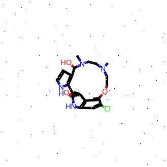 CN1CCOc2cc3c(cc2Cl)NC(=O)/C3=C\c2[nH]ccc2C(O)N(C)CC1